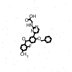 Cc1ccc(C(=O)c2ccc(OCc3ccccc3)c(-c3ccnc(NCC(=O)O)n3)c2)c(F)c1